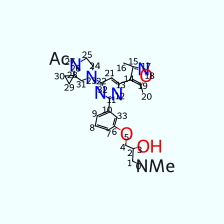 CNCC(O)COc1cccc(-c2nc(-c3c(C)noc3C)cc(N3CCN(C(C)=O)C4(CC4)C3)n2)c1